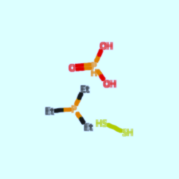 CCP(CC)CC.O=[PH](O)O.SS